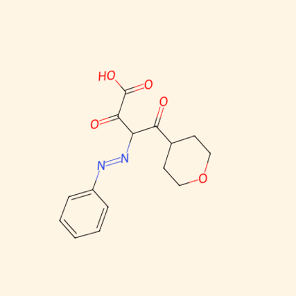 O=C(O)C(=O)C(N=Nc1ccccc1)C(=O)C1CCOCC1